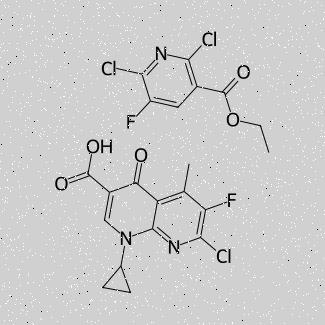 CCOC(=O)c1cc(F)c(Cl)nc1Cl.Cc1c(F)c(Cl)nc2c1c(=O)c(C(=O)O)cn2C1CC1